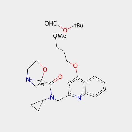 CC(C)(C)OC=O.COCCCOc1cc(CN(C(=O)[C@]23CN2CCO3)C2CC2)nc2ccccc12